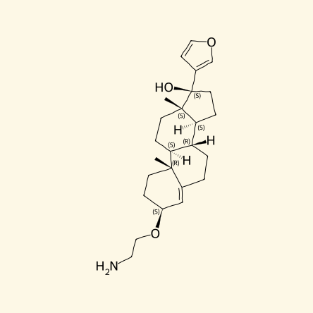 C[C@]12CC[C@H](OCCN)C=C1CC[C@@H]1[C@@H]2CC[C@@]2(C)[C@H]1CC[C@@]2(O)c1ccoc1